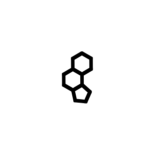 C1CCC2C(C1)CCC1CCCC12